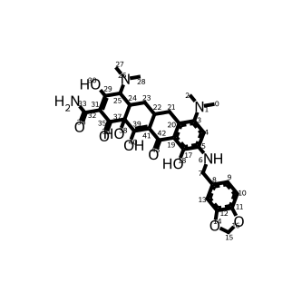 CN(C)c1cc(NCc2ccc3c(c2)OCO3)c(O)c2c1CC1CC3C(N(C)C)C(O)=C(C(N)=O)C(=O)C3(O)C(O)=C1C2=O